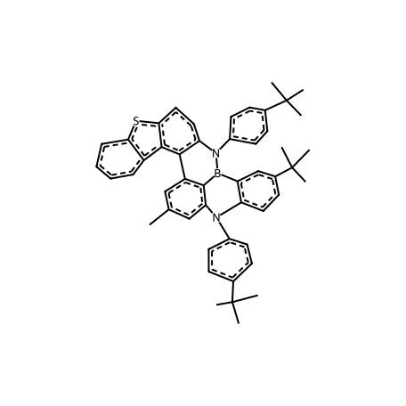 Cc1cc2c3c(c1)N(c1ccc(C(C)(C)C)cc1)c1ccc(C(C)(C)C)cc1B3N(c1ccc(C(C)(C)C)cc1)c1ccc3sc4ccccc4c3c1-2